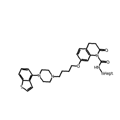 CCCCCCCNC(=O)N1C(=O)CCc2ccc(OCCCCN3CCN(c4cccc5sccc45)CC3)cc21